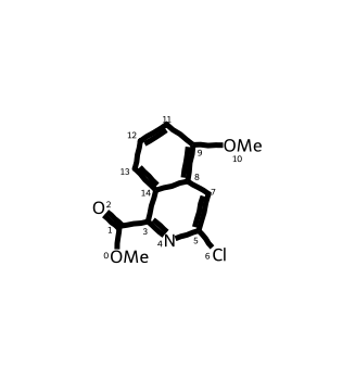 COC(=O)c1nc(Cl)cc2c(OC)cccc12